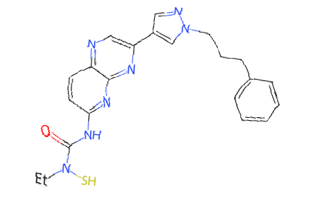 CCN(S)C(=O)Nc1ccc2ncc(-c3cnn(CCCc4ccccc4)c3)nc2n1